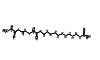 CNC(=O)COCCNC(=O)CCCCCCCCCCCCC(=O)O